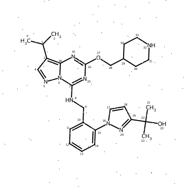 CC(C)c1cnn2c(NCc3ccccc3-n3ccc(C(C)(C)O)n3)nc(OCC3CCNCC3)nc12